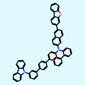 c1ccc(-c2ccccc2N(c2ccc(-c3ccc(-c4cccc(-n5c6ccccc6c6ccccc65)c4)cc3)cc2)c2ccc3cc(-c4ccc5c(c4)oc4ccccc45)ccc3c2)cc1